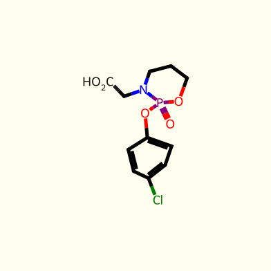 O=C(O)CN1CCCOP1(=O)Oc1ccc(Cl)cc1